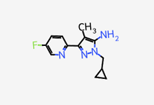 Cc1c(-c2ccc(F)cn2)nn(CC2CC2)c1N